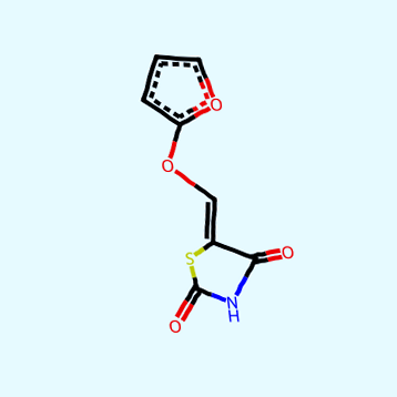 O=C1NC(=O)C(=COc2ccco2)S1